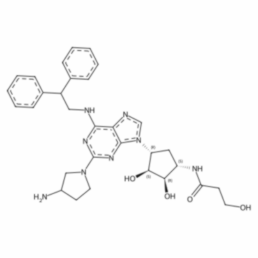 NC1CCN(c2nc(NCC(c3ccccc3)c3ccccc3)c3ncn([C@@H]4C[C@H](NC(=O)CCO)[C@@H](O)[C@H]4O)c3n2)C1